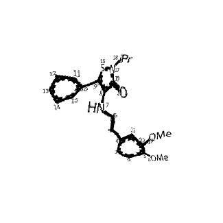 COc1ccc(CCNc2c(-c3ccccc3)sn(C(C)C)c2=O)cc1OC